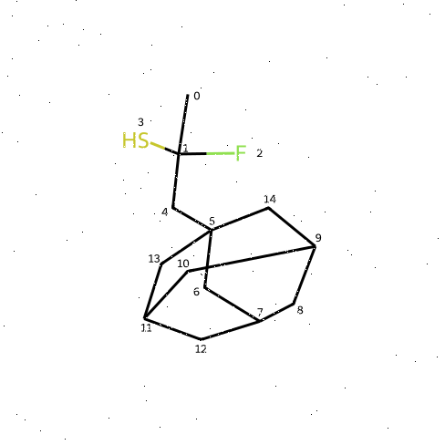 CC(F)(S)CC12CC3CC(CC(C3)C1)C2